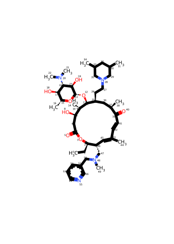 CC[C@H]1OC(=O)C[C@@H](O)[C@H](C)[C@@H](O[C@@H]2O[C@H](C)[C@@H](O)[C@H](N(C)C)[C@H]2O)[C@@H](CCN2CC(C)CC(C)C2)C[C@@H](C)C(=O)/C=C/C(C)=C/[C@@H]1CN(C)Cc1cccnc1